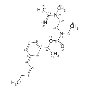 CC/C=C\C=C1\C=CC=C(C(C)OC(=O)N(CC)CCN(C)C(C)=N)C1